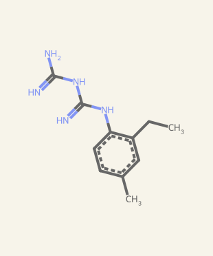 CCc1cc(C)ccc1NC(=N)NC(=N)N